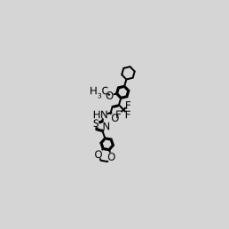 COc1cc(C2CCCCC2)ccc1C(=CC(=O)Nc1nc(-c2ccc3c(c2)OCCO3)cs1)C(F)(F)F